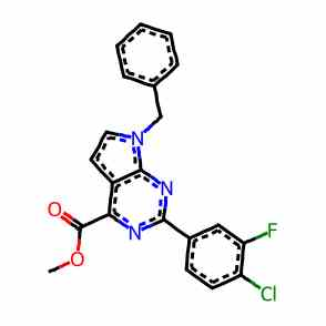 COC(=O)c1nc(-c2ccc(Cl)c(F)c2)nc2c1ccn2Cc1ccccc1